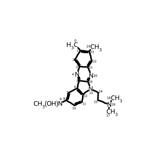 Cc1cc2nc3c4cc(N(C)O)ccc4n(CCN(C)C)c3nc2cc1C